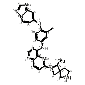 Cc1cc(Nc2ncnc3ccc(N4CC5(CCNC5)C4C(C)(C)C)nc23)ccc1Oc1ccn2ncnc2c1